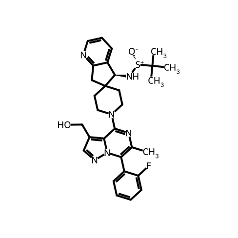 Cc1nc(N2CCC3(CC2)Cc2ncccc2[C@H]3N[S@+]([O-])C(C)(C)C)c2c(CO)cnn2c1-c1ccccc1F